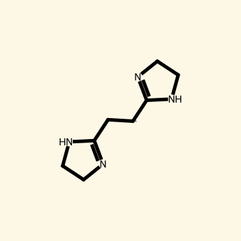 [CH](CC1=NCCN1)C1=NCCN1